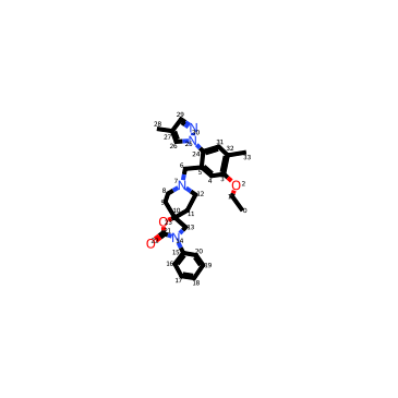 CCOc1cc(CN2CCC3(CC2)CN(c2ccccc2)C(=O)O3)c(-n2cc(C)cn2)cc1C